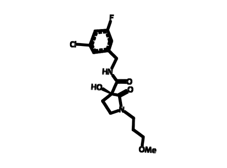 COCCCN1CC[C@](O)(C(=O)NCc2cc(F)cc(Cl)c2)C1=O